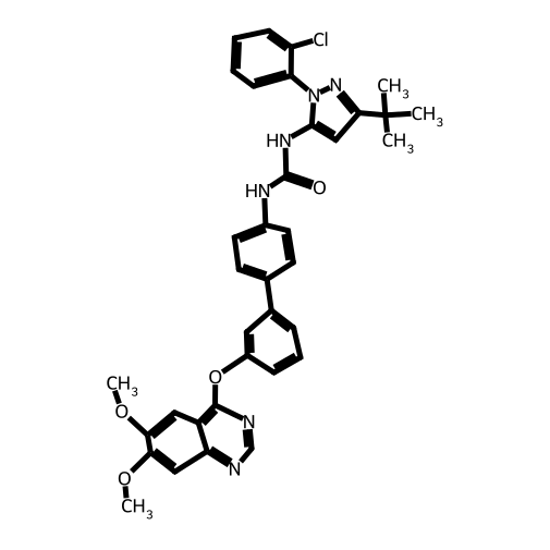 COc1cc2ncnc(Oc3cccc(-c4ccc(NC(=O)Nc5cc(C(C)(C)C)nn5-c5ccccc5Cl)cc4)c3)c2cc1OC